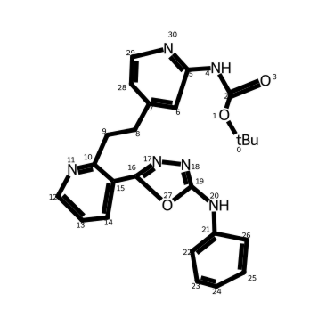 CC(C)(C)OC(=O)Nc1cc(CCc2ncccc2-c2nnc(Nc3ccccc3)o2)ccn1